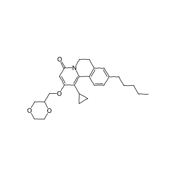 CCCCCc1ccc2c(c1)CCn1c-2c(C2CC2)c(OCC2COCCO2)cc1=O